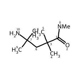 CNC(=O)C(C)(C)CC(C)(C)N